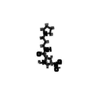 Cn1cc([N+](=O)[O-])cc1C(=O)NCCCN1CCCC1